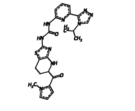 CC(C)n1cnnc1-c1cccc(NC(=O)Nc2nc3c(s2)CCC(C(=O)c2cccn2C)N3)n1